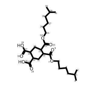 CC(C)CCCCOC(=O)C1CC(C(=O)O)C(C(=O)O)CC1C(=O)OCCCCC(C)C